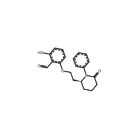 O=Cc1c(O)cccc1OCC[C@@H]1CCCC(=O)N1c1ccccc1